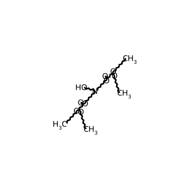 CCCCCCCCOC(CCC(=O)OCCCCCCN(CCCCO)CCCCCCOC(=O)CCC(OCCCCCCCC)OCCCCCCCC)OCCCCCCCC